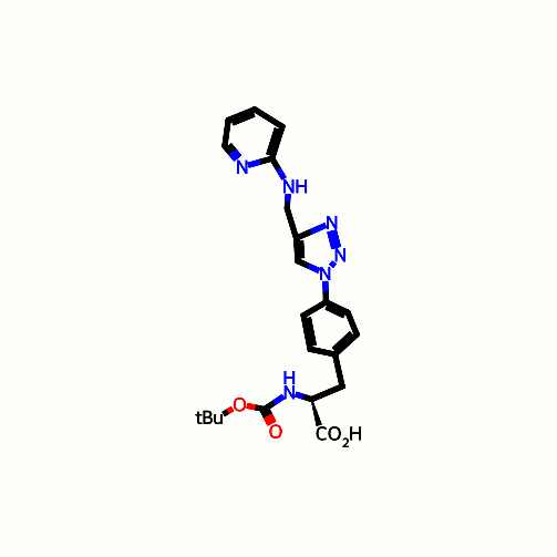 CC(C)(C)OC(=O)N[C@@H](Cc1ccc(-n2cc(CNc3ccccn3)nn2)cc1)C(=O)O